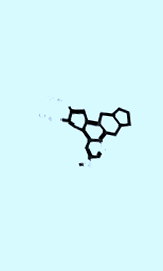 CCNc1cnc2c3c(c4cc(OC)c(OC)cc4c2c1)CC1CCCC1C3